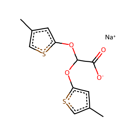 Cc1csc(OC(Oc2cc(C)cs2)C(=O)[O-])c1.[Na+]